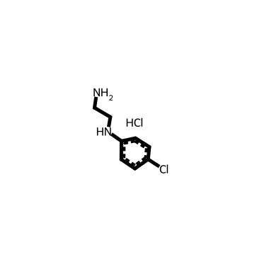 Cl.NCCNc1ccc(Cl)cc1